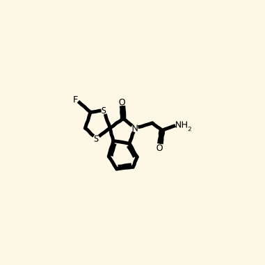 NC(=O)CN1C(=O)C2(SCC(F)S2)c2ccccc21